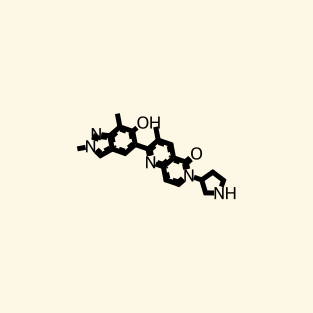 Cc1cc2c(=O)n(C3CCNC3)ccc2nc1-c1cc2cn(C)nc2c(C)c1O